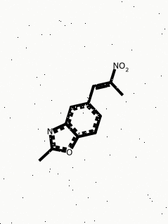 C/C(=C\c1ccc2oc(C)nc2c1)[N+](=O)[O-]